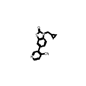 N#Cc1ccncc1-c1ccc2c(c1)sc(=O)n2CC1CC1